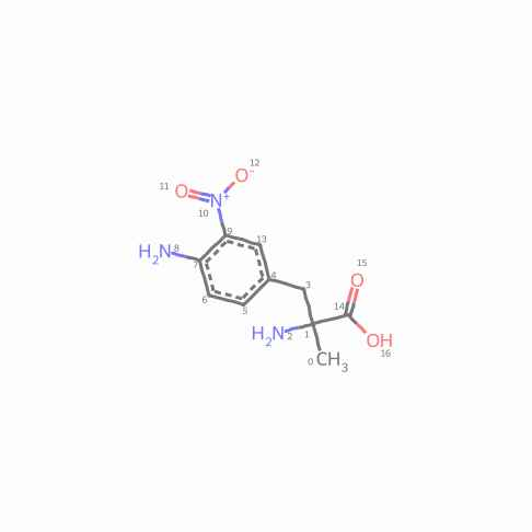 CC(N)(Cc1ccc(N)c([N+](=O)[O-])c1)C(=O)O